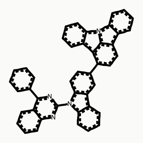 c1ccc(-c2nc(-n3c4ccccc4c4cc(-c5ccc6c7ccccc7n7c8ccccc8c5c67)ccc43)nc3ccccc23)cc1